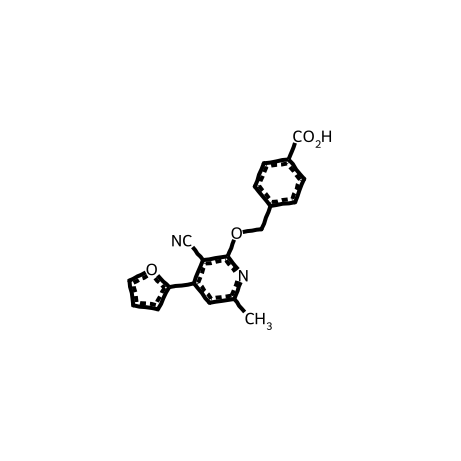 Cc1cc(-c2ccco2)c(C#N)c(OCc2ccc(C(=O)O)cc2)n1